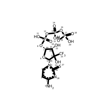 Nc1ccn([C@@H]2O[C@H](OP(=O)(O)OP(=O)(O)OP(=O)(O)O)[C@H](O)C2(O)C(F)(F)F)c(=S)n1